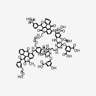 Cn1c(=O)c(C(=O)c2cccc(SOOO)c2)c2c3c(c(Nc4cc(Nc5nc(NCCNc6nc(Nc7cc(Nc8ccc9c%10c8C(=O)c8ccccc8-c%10c(C(=O)c8cccc(S(=O)(=O)O)c8)c(=O)n9C)c(S(=O)(=O)O)cc7SOOO)nc(Oc7cc(C(=O)O)cc(C(=O)O)c7)n6)nc(Oc6cc(O)cc(C(=O)O)c6)n5)c(S(=O)(=O)O)cc4SOOO)ccc31)C(=O)c1ccccc1-2